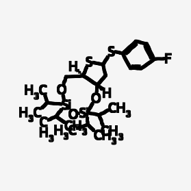 CC(C)[Si]1(C(C)C)OC[C@H]2SC(Sc3ccc(F)cc3)C[C@@H]2O[Si](C(C)C)(C(C)C)O1